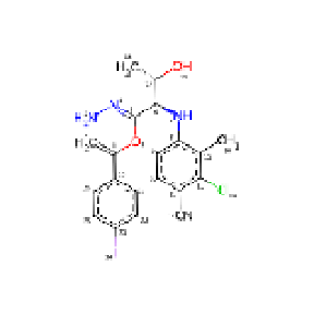 C=C(O/C(=N\N)[C@H](Nc1ccc(C#N)c(Cl)c1C)[C@H](C)O)c1ccc(I)cc1